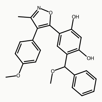 COc1ccc(-c2c(C)noc2-c2cc(C(OC)c3ccccc3)c(O)cc2O)cc1